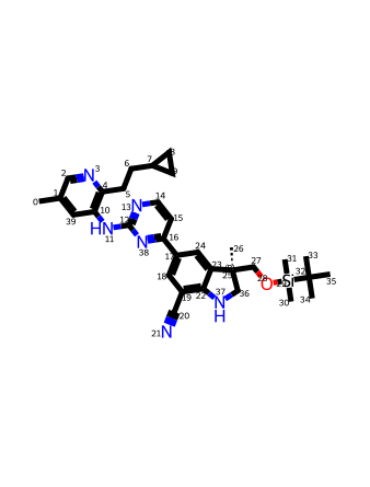 Cc1cnc(CCC2CC2)c(Nc2nccc(-c3cc(C#N)c4c(c3)[C@@](C)(CO[Si](C)(C)C(C)(C)C)CN4)n2)c1